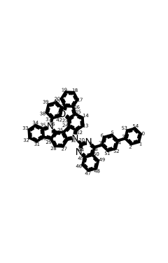 c1ccc(-c2ccc(-c3nc(-n4c5ccc6c7ccccc7oc6c5c5c4ccc4c6ccccc6n(-c6ccccc6)c45)nc4ccccc34)cc2)cc1